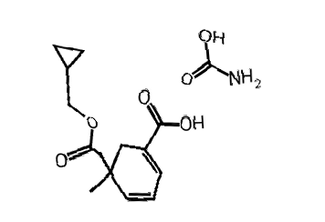 CC1(C(=O)OCC2CC2)C=CC=C(C(=O)O)C1.NC(=O)O